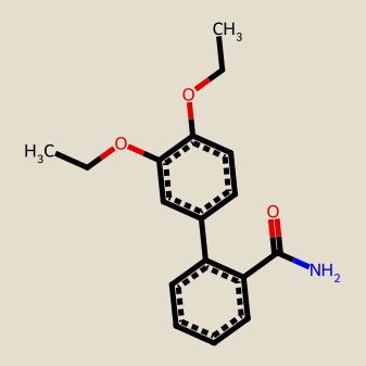 CCOc1ccc(-c2ccccc2C(N)=O)cc1OCC